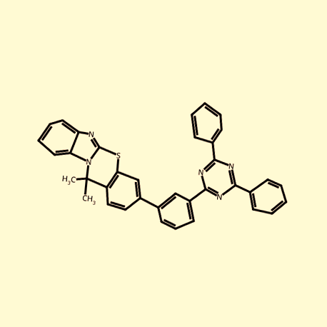 CC1(C)c2ccc(-c3cccc(-c4nc(-c5ccccc5)nc(-c5ccccc5)n4)c3)cc2Sc2nc3ccccc3n21